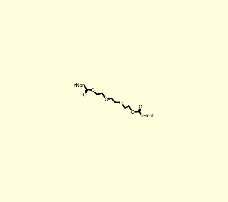 CCCCCCCCCC(=O)OCCOCCOCCOC(=O)CCCCCCC